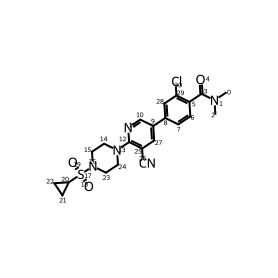 CN(C)C(=O)c1ccc(-c2cnc(N3CCN(S(=O)(=O)C4CC4)CC3)c(C#N)c2)cc1Cl